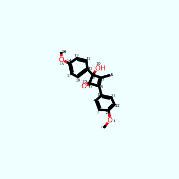 COc1ccc(C2=C(C)C(O)(c3ccc(OC)cc3)C2=O)cc1